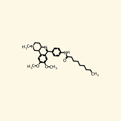 CCCCCCCCC(=O)Nc1ccc(C2=NC3CCN(C)CC3c3cc(OC)c(OC)cc32)cc1